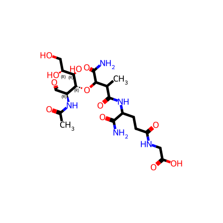 CC(=O)N[C@@H](C=O)[C@@H](OC(C(N)=O)C(C)C(=O)NC(CCC(=O)NCC(=O)O)C(N)=O)[C@H](O)[C@H](O)CO